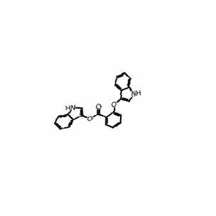 O=C(Oc1c[nH]c2ccccc12)c1ccccc1Oc1c[nH]c2ccccc12